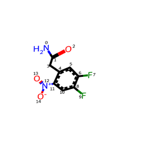 NC(=O)Cc1cc(F)c(F)cc1[N+](=O)[O-]